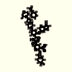 CC1COC[C@H](c2ccccc2C2CC2)N1C1CC2(CCN(c3ccc(C(=O)NS(=O)(=O)c4cnc(NCC5CCC(C)(C)CC5)c([N+](=O)[O-])c4)c(Oc4cnc5[nH]ccc5c4)c3)CC2)C1